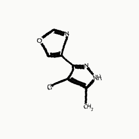 Cc1[nH]nc(-c2cocn2)c1Cl